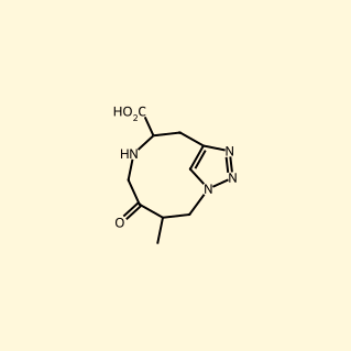 CC1Cn2cc(nn2)CC(C(=O)O)NCC1=O